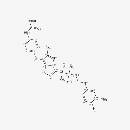 CCCCCCCC(=O)Nc1ccc(Sc2c(C(C)(C)C)nn3c(C(C)(C)C(C)(C)NCOc4ccc(Cl)c([N+](=O)[O-])c4)n[nH]c23)cc1